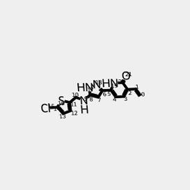 C=Cc1ccc(-c2cc(NCc3ccc(Cl)s3)[nH]n2)[nH]c1=O